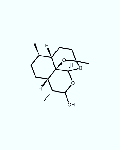 C[C@@H]1CC[C@H]2[C@@H](C)C(O)O[C@@H]3OC4(C)CC[C@@H]1[C@]32O4